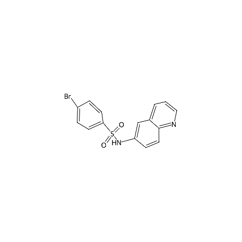 O=S(=O)(Nc1ccc2ncccc2c1)c1ccc(Br)cc1